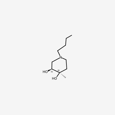 CCCCN1CC[C@@](C)(O)[C@@H](O)C1